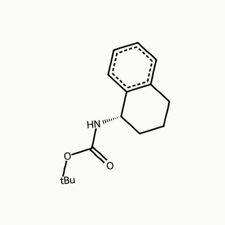 CC(C)(C)OC(=O)N[C@H]1CCCc2ccccc21